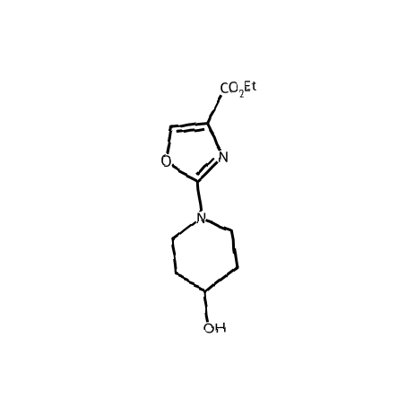 CCOC(=O)c1coc(N2CCC(O)CC2)n1